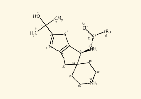 CC(C)(O)c1nc2c(s1)[C@@H](N[S+]([O-])C(C)(C)C)C1(CCNCC1)C2